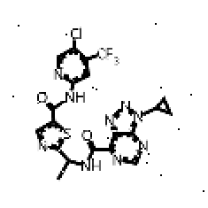 CC(NC(=O)c1ncnc2c1nnn2C1CC1)c1ncc(C(=O)Nc2cc(C(F)(F)F)c(Cl)cn2)s1